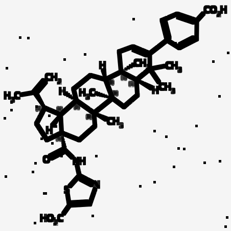 C=C(C)[C@@H]1CC[C@]2(C(=O)Nc3ncc(C(=O)O)s3)CC[C@]3(C)[C@H](CC[C@@H]4[C@@]5(C)CC=C(c6ccc(C(=O)O)cc6)C(C)(C)[C@@H]5CC[C@]43C)[C@@H]12